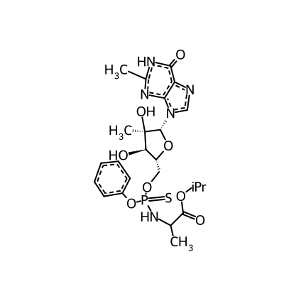 Cc1nc2c(ncn2[C@@H]2O[C@H](COP(=S)(NC(C)C(=O)OC(C)C)Oc3ccccc3)[C@@H](O)[C@@]2(C)O)c(=O)[nH]1